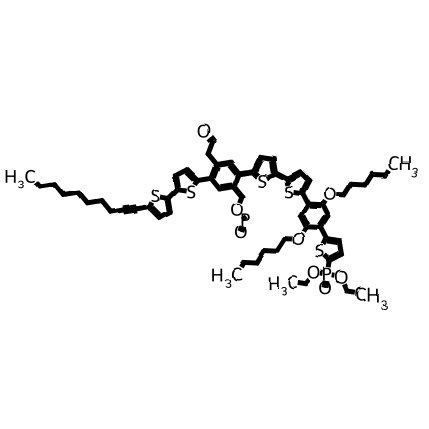 CCCCCCCCC#Cc1ccc(-c2ccc(-c3cc(COP=O)c(-c4ccc(-c5ccc(-c6cc(OCCCCCC)c(-c7ccc(P(=O)(OCC)OCC)s7)cc6OCCCCCC)s5)s4)cc3CC=O)s2)s1